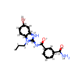 CCCn1/c(=N/C(=O)c2cccc(C(N)=O)c2)[nH]c2cc(Br)ccc21